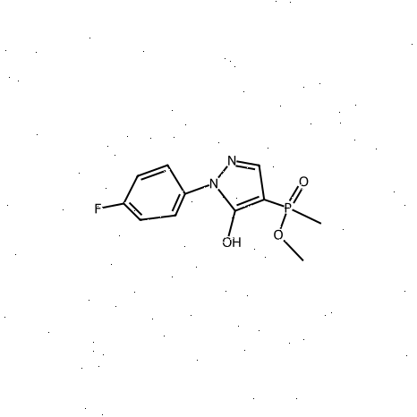 COP(C)(=O)c1cnn(-c2ccc(F)cc2)c1O